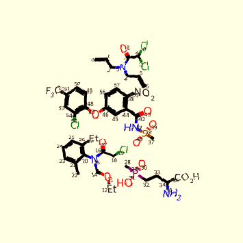 C=CCN(CC=C)C(=O)C(Cl)Cl.CCOCN(C(=O)CCl)c1c(C)cccc1CC.CP(=O)(O)CCC(N)C(=O)O.CS(=O)(=O)NC(=O)c1cc(Oc2ccc(C(F)(F)F)cc2Cl)ccc1[N+](=O)[O-]